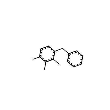 Cc1c(N)ccc(Cc2ccccc2)c1C.O